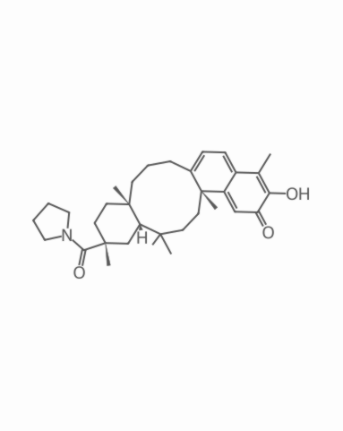 CC1=C(O)C(=O)C=C2C1=CC=C1CCC[C@@]3(C)CC[C@@](C)(C(=O)N4CCCC4)C[C@H]3C(C)(C)CC[C@]12C